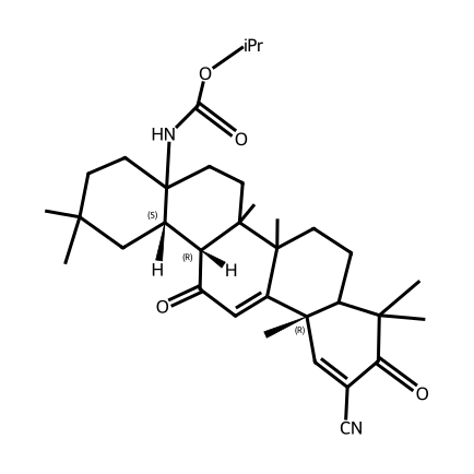 CC(C)OC(=O)NC12CCC(C)(C)C[C@H]1[C@H]1C(=O)C=C3C(C)(CCC4C(C)(C)C(=O)C(C#N)=C[C@]34C)C1(C)CC2